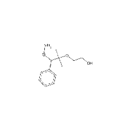 CC(C)(OCCO)C(O[SiH3])c1ccccc1